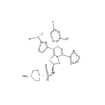 O=S(=O)(N[C@H]1CC2=C(c3ccn(C(F)F)n3)[C@H](c3ccc(F)cc3Cl)N=C(c3nccs3)N2C1)[C@H]1CC[C@@H](O)CC1